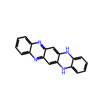 c1ccc2c(c1)Nc1cc3nc4ccccc4nc3cc1N2